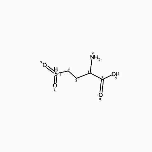 NC(CC[SH](=O)=O)C(=O)O